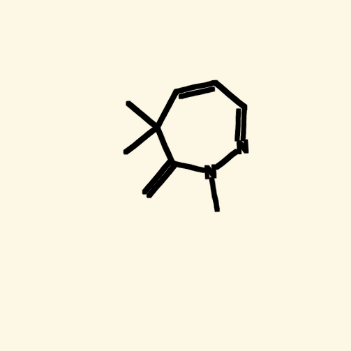 C=C1N(C)N=CC=CC1(C)C